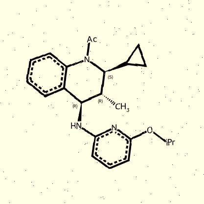 CC(=O)N1c2ccccc2[C@H](Nc2cccc(OC(C)C)n2)[C@@H](C)[C@@H]1C1CC1